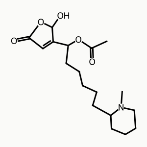 CC(=O)OC(CCCCCC1CCCCN1C)C1=CC(=O)OC1O